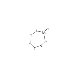 CB1CCCCCC1